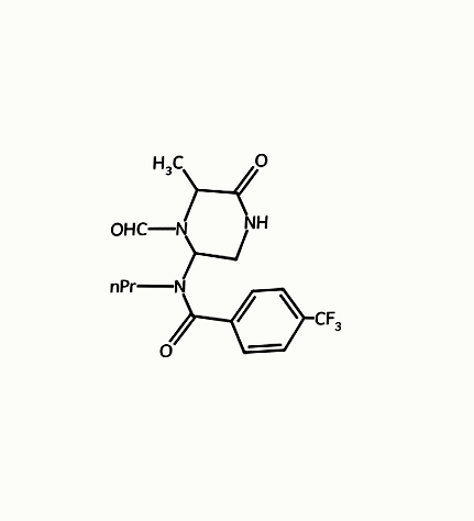 CCCN(C(=O)c1ccc(C(F)(F)F)cc1)C1CNC(=O)C(C)N1C=O